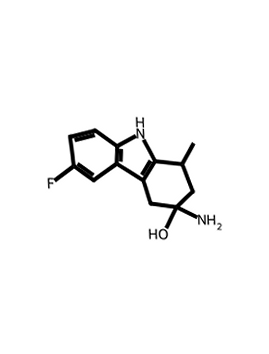 CC1CC(N)(O)Cc2c1[nH]c1ccc(F)cc21